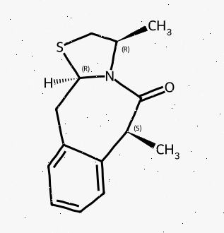 C[C@@H]1C(=O)N2[C@H](C)CS[C@@H]2Cc2ccccc21